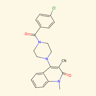 Cn1c(=O)c(C#N)c(N2CCN(C(=O)c3ccc(Cl)cc3)CC2)c2ccccc21